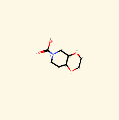 O=C(O)N1CCC2OCCOC2C1